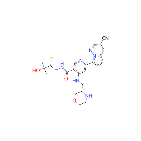 CC(C)(O)C(F)CNC(=O)c1cnc(-c2ccc3cc(C#N)cnn23)cc1NC[C@H]1COCCN1